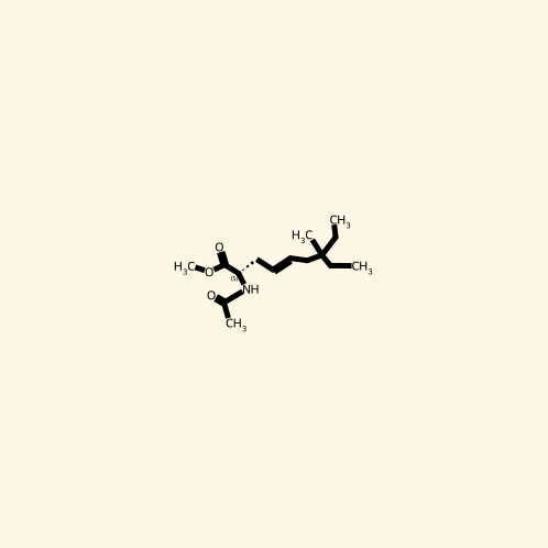 CCC(C)(CC)CC=CC[C@H](NC(C)=O)C(=O)OC